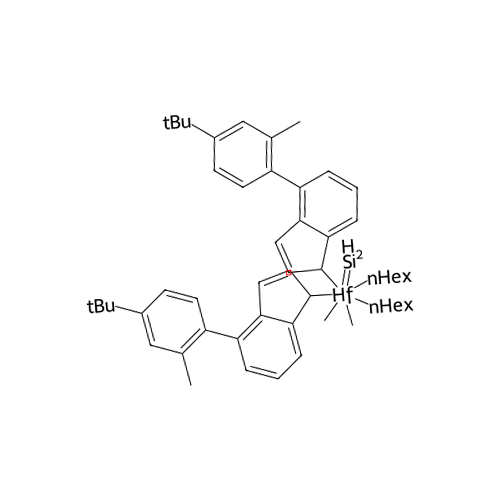 CCCCC[CH2][Hf]([CH3])([CH3])(=[SiH2])([CH2]CCCCC)([CH]1C=Cc2c(-c3ccc(C(C)(C)C)cc3C)cccc21)[CH]1C=Cc2c(-c3ccc(C(C)(C)C)cc3C)cccc21